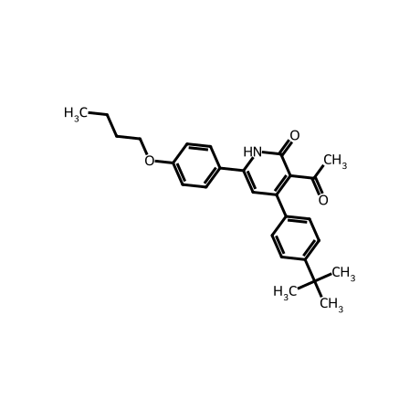 CCCCOc1ccc(-c2cc(-c3ccc(C(C)(C)C)cc3)c(C(C)=O)c(=O)[nH]2)cc1